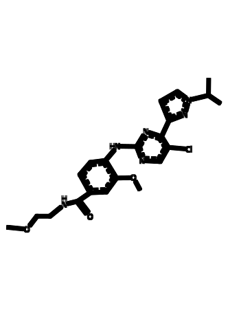 COCCNC(=O)c1ccc(Nc2ncc(Cl)c(-c3ccn(C(C)C)n3)n2)c(OC)c1